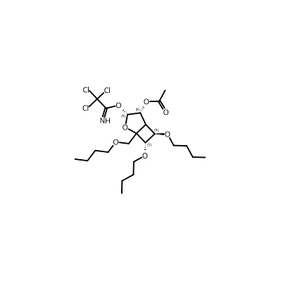 CCCCOCC12O[C@H](OC(=N)C(Cl)(Cl)Cl)[C@H](OC(C)=O)C1[C@@H](OCCCC)[C@@H]2OCCCC